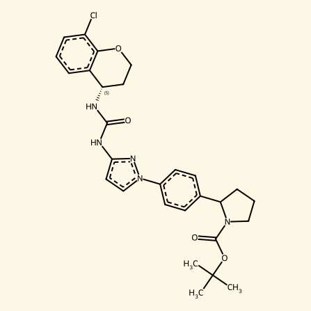 CC(C)(C)OC(=O)N1CCCC1c1ccc(-n2ccc(NC(=O)N[C@H]3CCOc4c(Cl)cccc43)n2)cc1